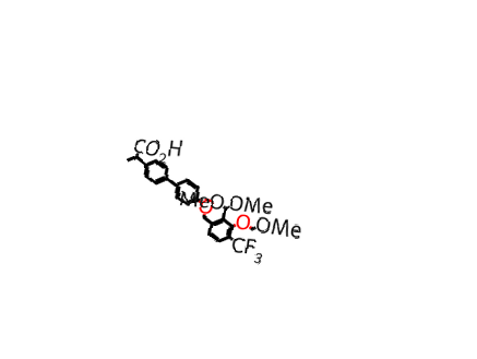 COCOc1c(C(F)(F)F)ccc(COc2ccc(-c3ccc(C(C)C(=O)O)cc3)cc2)c1C(OC)OC